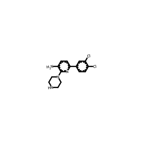 Nc1ccc(-c2ccc(Cl)c(Cl)c2)nc1N1CCNCC1